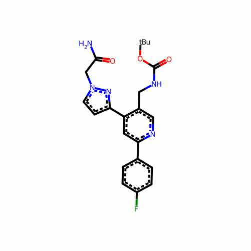 CC(C)(C)OC(=O)NCc1cnc(-c2ccc(F)cc2)cc1-c1ccn(CC(N)=O)n1